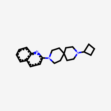 c1ccc2nc(N3CCC4(CC3)CCN(C3CCC3)CC4)ccc2c1